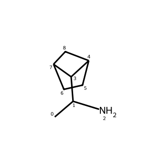 CC(N)C1C2CCC1C2